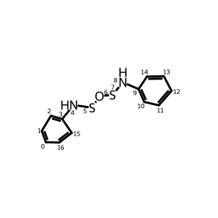 c1ccc(NSOSNc2ccccc2)cc1